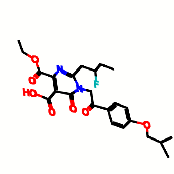 CCOC(=O)c1nc(CC(F)CC)n(CC(=O)c2ccc(OCC(C)C)cc2)c(=O)c1C(=O)O